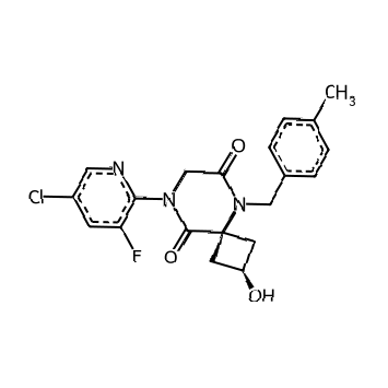 Cc1ccc(CN2C(=O)CN(c3ncc(Cl)cc3F)C(=O)[C@]23C[C@H](O)C3)cc1